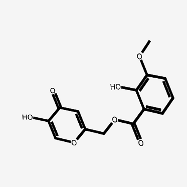 COc1cccc(C(=O)OCc2cc(=O)c(O)co2)c1O